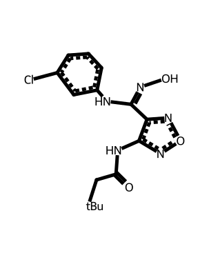 CC(C)(C)CC(=O)Nc1nonc1/C(=N\O)Nc1cccc(Cl)c1